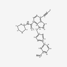 CC#Cc1ccc(C(=O)NC2CCCCC2)c2c1cnn2[C@@H](C)c1ccc(-c2ccnc(OC)n2)cc1